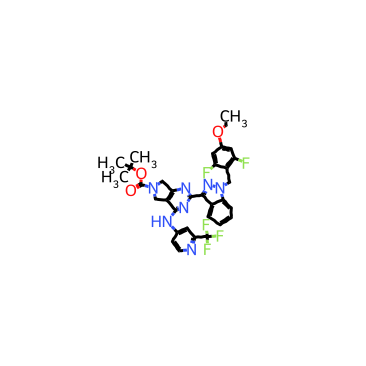 CCOc1cc(F)c(Cn2nc(-c3nc4c(c(Nc5ccnc(C(F)(F)F)c5)n3)CN(C(=O)OC(C)(C)C)C4)c3ccccc32)c(F)c1